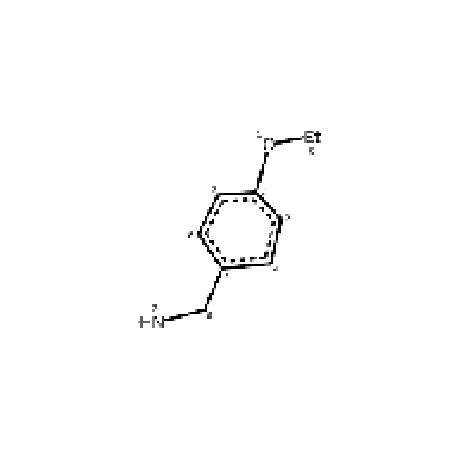 CCOc1ccc(C[NH])cc1